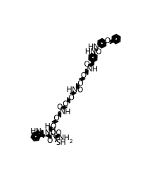 NC(=O)[C@H](CS)NC(=O)[C@H](Cc1c[nH]c2ccccc12)NC(=O)COCCOCCNC(=O)COCCOCCNC(=O)COCCOCCNC(=O)Cc1ccc(NC(=O)Nc2ccc(OCc3ccccc3)cc2)cc1